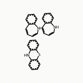 C1=CNc2ccccc2C=C1.C1=CNc2ccccc2C=C1.c1ccc2c(c1)Nc1ccccc1S2